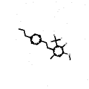 CCCc1ccc(CCc2c(C)cc(OC)c(F)c2C(F)(F)F)cc1